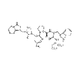 NC(=O)C[C@H](NC(=O)[C@@H](N)Cc1c[nH]c2ccccc12)C(=O)N1CCC[C@H]1C(=O)N[C@@H](Cc1c[nH]c2ccccc12)C(=O)N[C@@H](CC(=O)O)C(=O)O